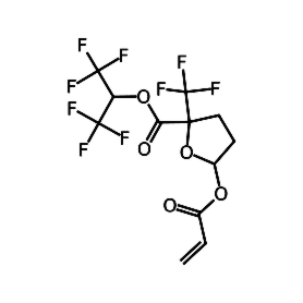 C=CC(=O)OC1CCC(C(=O)OC(C(F)(F)F)C(F)(F)F)(C(F)(F)F)O1